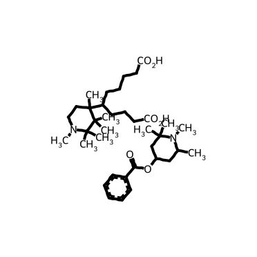 CC1CC(OC(=O)c2ccccc2)CC(C)(C)N1C.CN1CCC(C)(C(CCCCC(=O)O)CCCC(=O)O)C(C)(C)C1(C)C